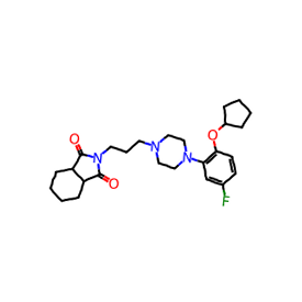 O=C1C2CCCCC2C(=O)N1CCCN1CCN(c2cc(F)ccc2OC2CCCC2)CC1